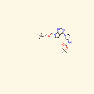 CC(C)(C)OC(=O)N[C@@H]1CCN(c2ncnc3c2ccn3COCC[Si](C)(C)C)C1